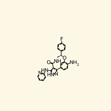 C[C@H](Oc1cc(-c2n[nH]c(Nc3ccccn3)c2C(N)=O)ccc1N)c1ccc(F)cc1